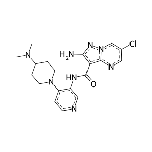 CN(C)C1CCN(c2ccncc2NC(=O)c2c(N)nn3cc(Cl)cnc23)CC1